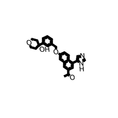 CC(=O)c1cc(-c2cnc[nH]2)c2ccc(OCc3cccc(C4(O)CCOCC4)c3)cc2c1